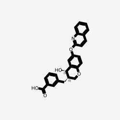 O=C(O)c1cccc(C[C@H]2COc3ccc(Oc4ccc5ccccc5n4)cc3[C@H]2O)c1